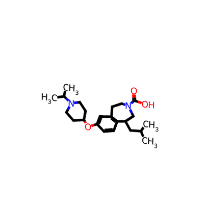 CC(C)CC1CN(C(=O)O)CCc2cc(OC3CCN(C(C)C)CC3)ccc21